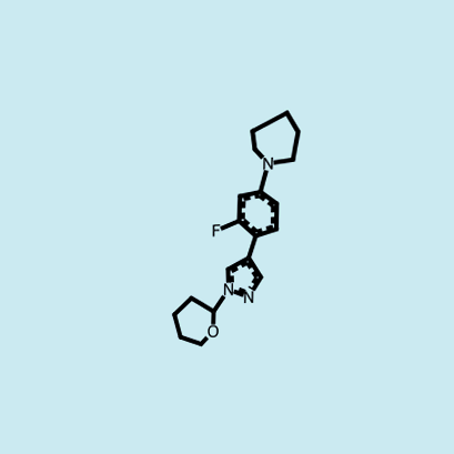 Fc1cc(N2CCCCC2)ccc1-c1cnn(C2CCCCO2)c1